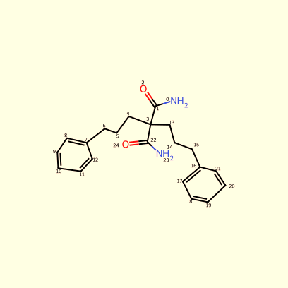 NC(=O)C(CCCc1ccccc1)(CCCc1ccccc1)C(N)=O